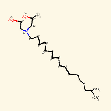 CC(C)CCCCCCCCCCCCCCCN(CCO)CC(C)O